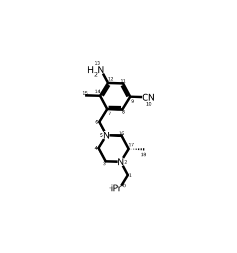 C[C](C)CN1CCN(Cc2cc(C#N)cc(N)c2C)C[C@@H]1C